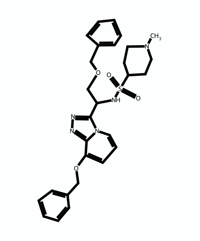 CN1CCC(S(=O)(=O)NC(COCc2ccccc2)c2nnc3c(OCc4ccccc4)cccn23)CC1